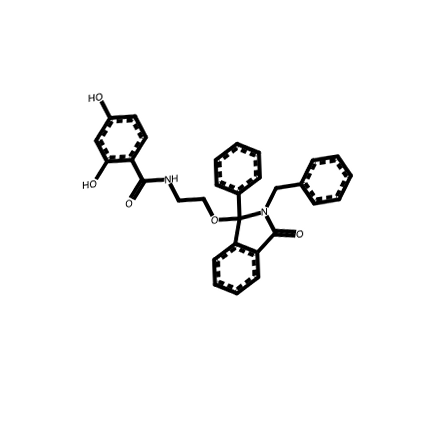 O=C(NCCOC1(c2ccccc2)c2ccccc2C(=O)N1Cc1ccccc1)c1ccc(O)cc1O